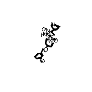 COc1cccc(COC2CCN(S(=O)(=O)CC(c3cccnc3)N(O)C=O)CC2)c1